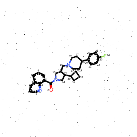 O=C(c1cccc2cccnc12)N1CC(CN2CCC(c3ccc(F)cc3)CC2)C(C2CCC2)C1